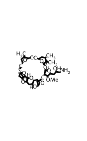 C=C1CC2CC[C@@]34CC5OC6C(O3)[C@H]3OC(CCC3O[C@H]6C5O4)CC(=O)CC3[C@@H](OC)C(CC(O)CN)O[C@H]3C[C@H]3OC(CCC1O2)CC(C)C3=C